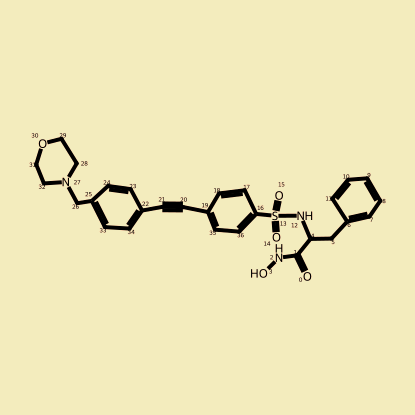 O=C(NO)C(Cc1ccccc1)NS(=O)(=O)c1ccc(C#Cc2ccc(CN3CCOCC3)cc2)cc1